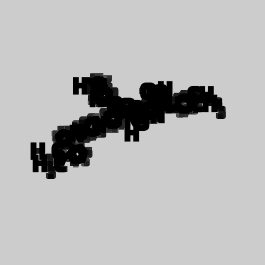 CC(C)c1ccccc1[C@H]1CCC[C@H]1N1CC2(CCN(c3ccc(C(=O)NS(=O)(=O)c4cnc(NCC5CCC(C)(C)CC5)c([N+](=O)[O-])c4)c(Oc4cnc5[nH]ccc5c4)c3)CC2)C1